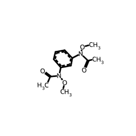 CON(C(C)=O)c1cccc(N(OC)C(C)=O)c1